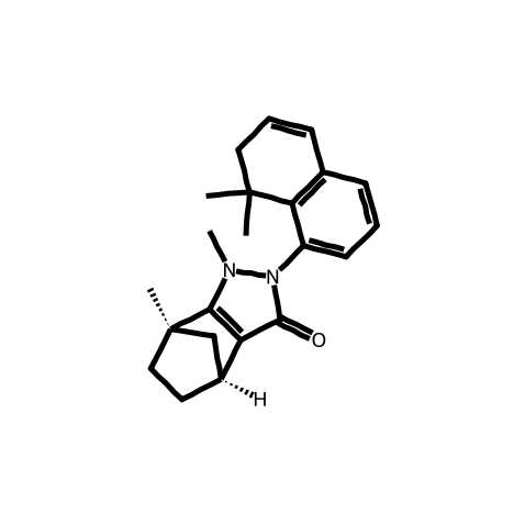 Cn1c2c(c(=O)n1-c1cccc3c1C(C)(C)CC=C3)[C@H]1CC[C@]2(C)C1